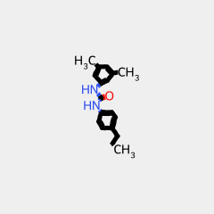 CCCc1ccc(NC(=O)Nc2cc(C)cc(C)c2)cc1